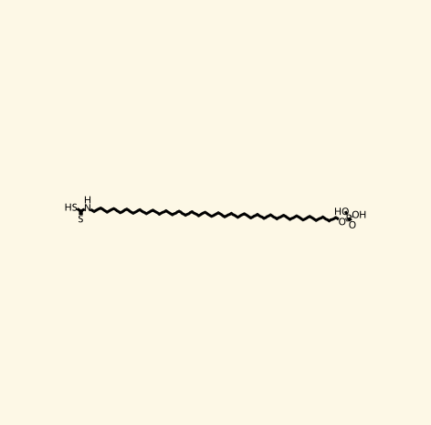 O=P(O)(O)OCCCCCCCCCCCCCCCCCCCCCCCCCCCCCCCCCCCCCCNC(=S)S